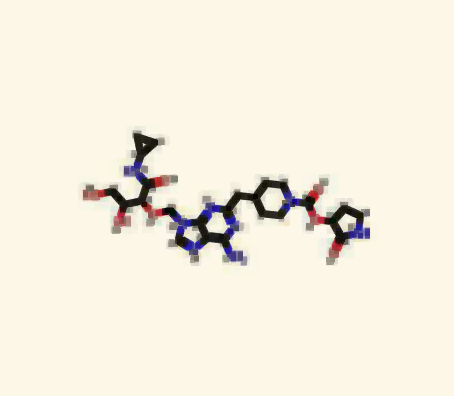 Nc1nc(CC2CCN(C(=O)OC3CCNC3=O)CC2)nc2c1ncn2CO[C@H](C(=O)NC1CC1)C(O)CO